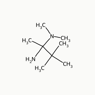 CN(C)C(C)(N)C(C)(C)C